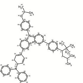 CC(C)CC(c1ccc(-c2ccc3c(c2)c2cc(C4=CCC(N(c5ccccc5)c5ccccc5)C=C4)ccc2n3-c2ccc(OC(C)C)cc2)cc1)C(C)(C)C